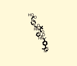 Cc1ncsc1-c1ccc([C@H](C)NC(=O)[C@@H]2CCCN2C(=O)[C@@H](NC(=O)CN2CCN(CC(=O)O)CC2)C(C)(C)C)cc1